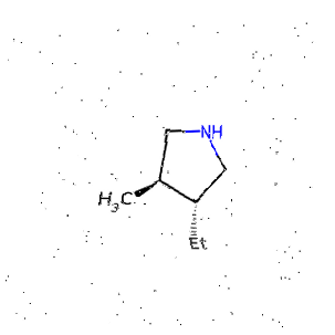 CC[C@H]1CNC[C@@H]1C